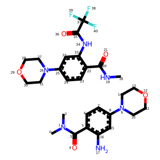 CN(C)C(=O)c1ccc(N2CCOCC2)cc1N.CNC(=O)c1ccc(N2CCOCC2)cc1NC(=O)C(F)(F)F